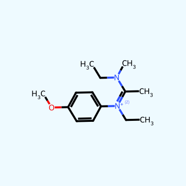 CCN(C)/C(C)=[N+](/CC)c1ccc(OC)cc1